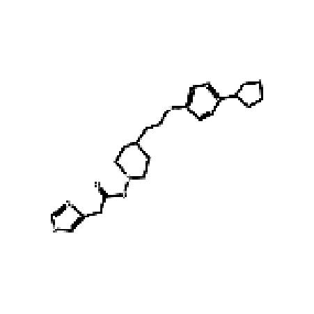 O=C(Cc1cscn1)ON1CCC(CCOc2ccc(C3CCCC3)cc2)CC1